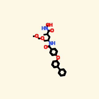 COCOCC(CC(C)C(=O)NO)NC(=O)c1ccc(Oc2cccc(-c3ccccc3)c2)cc1